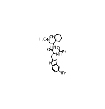 CCC(=O)N[C@@H](Cc1nc2ccc(C(C)C)cc2s1)C(=O)N[C@H](CN(C)C)C1CCCCC1